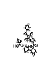 CN1CCC(NC(=O)N2CCN3C(=O)N([C@H]4C[C@@H]4c4ccccc4)C(=O)[C@@H]3C2)C(c2ccccc2)C1.O=C(O)C(F)(F)F